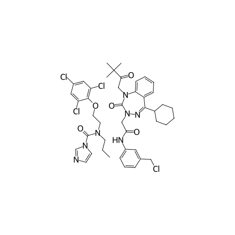 CC(C)(C)C(=O)CN1C(=O)N(CC(=O)Nc2cccc(CCl)c2)N=C(C2CCCCC2)c2ccccc21.CCCN(CCOc1c(Cl)cc(Cl)cc1Cl)C(=O)n1ccnc1